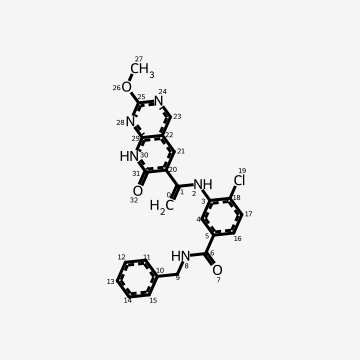 C=C(Nc1cc(C(=O)NCc2ccccc2)ccc1Cl)c1cc2cnc(OC)nc2[nH]c1=O